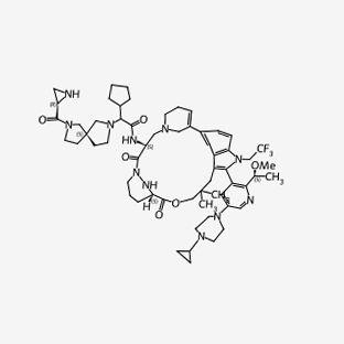 CO[C@@H](C)c1ncc(N2CCN(C3CC3)CC2)cc1-c1c2c3cc(ccc3n1CC(F)(F)F)C1=CCCN(C1)C[C@H](NC(=O)C(C1CCCC1)N1CC[C@]3(CCN(C(=O)[C@H]4CN4)C3)C1)C(=O)N1CCC[C@H](N1)C(=O)OCC(C)(C)C2